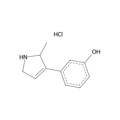 CC1NCC=C1c1cccc(O)c1.Cl